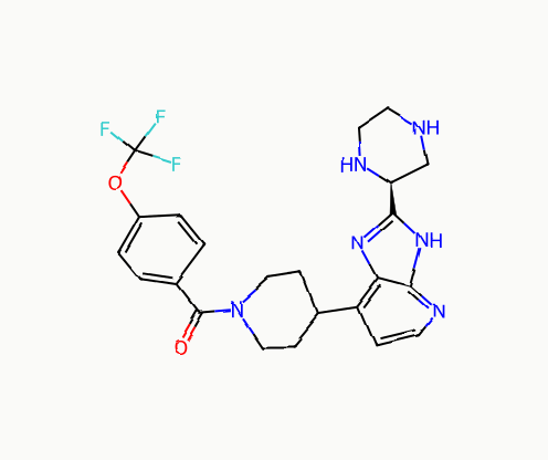 O=C(c1ccc(OC(F)(F)F)cc1)N1CCC(c2ccnc3[nH]c([C@@H]4CNCCN4)nc23)CC1